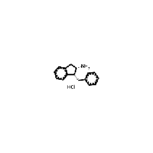 Cl.N[C@H]1Cc2ccccc2[C@H]1Cc1ccccc1